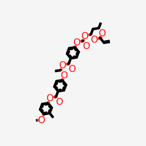 C=CC(=O)OC(CCC)OC(=O)Oc1ccc(C(=O)OC(C)Oc2ccc(C(=O)Oc3ccc(OC)c(C)c3)cc2)cc1